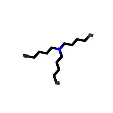 N#CCCCCN(CCCCC#N)CCCCC#N